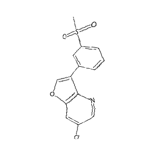 CS(=O)(=O)c1cccc(-c2coc3cc(Cl)cnc23)c1